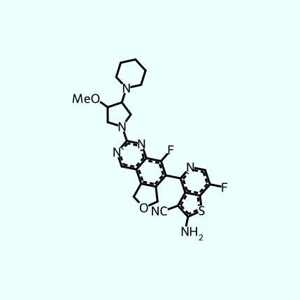 COC1CN(c2ncc3c4c(c(-c5ncc(F)c6sc(N)c(C#N)c56)c(F)c3n2)COC4)CC1N1CCCCC1